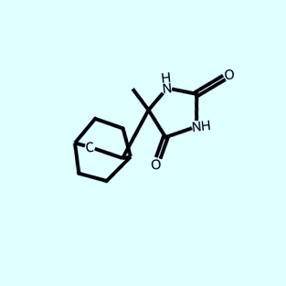 CC1(C2CC3CCC2CC3)NC(=O)NC1=O